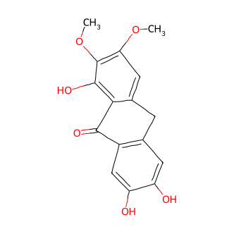 COc1cc2c(c(O)c1OC)C(=O)c1cc(O)c(O)cc1C2